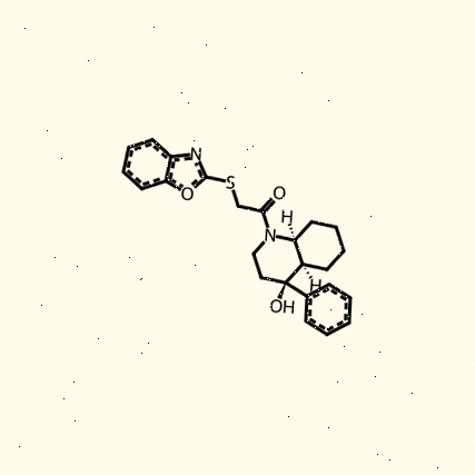 O=C(CSc1nc2ccccc2o1)N1CC[C@@](O)(c2ccccc2)[C@@H]2CCCC[C@@H]21